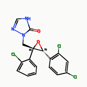 O=c1[nH]cnn1C[C@@]1(c2ccccc2Cl)O[C@@H]1c1ccc(Cl)cc1Cl